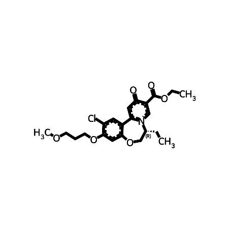 CCOC(=O)c1cn2c(cc1=O)-c1cc(Cl)c(OCCCOC)cc1OC[C@H]2CC